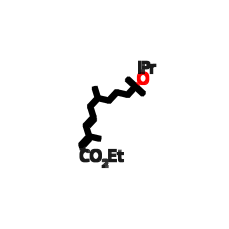 CCOC(=O)/C=C(C)/C=C/CC(C)CCCC(C)(C)OC(C)C